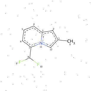 Cc1cc2cccc(C(F)F)n2c1